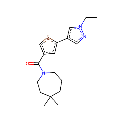 CCn1cc(-c2cc(C(=O)N3CCCC(C)(C)CC3)cs2)cn1